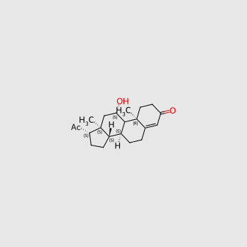 CC(=O)[C@H]1CC[C@H]2[C@@H]3CCC4=CC(=O)CC[C@]4(C)C3[C@@H](O)C[C@]12C